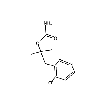 CC(C)(Cc1cnccc1Cl)OC(N)=O